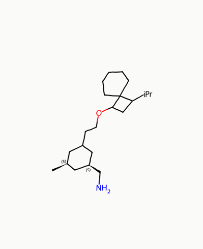 CC(C)C1CC(OCCC2C[C@H](C)C[C@H](CN)C2)C12CCCCC2